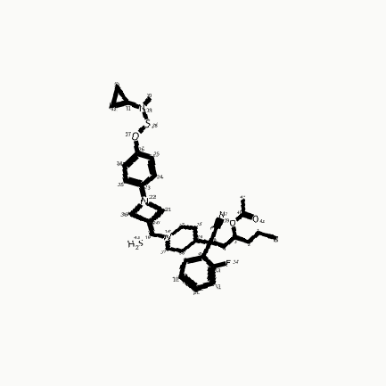 CCCC(CC(C#N)(c1ccccc1F)C1CCN(CC2CN(c3ccc(OSN(C)C4CC4)cc3)C2)CC1)OC(C)=O.S